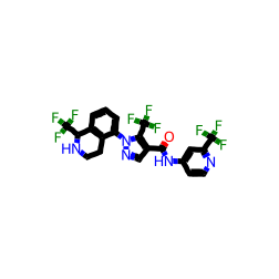 O=C(Nc1ccnc(C(F)(F)F)c1)c1cnn(-c2cccc3c2CCNC3C(F)(F)F)c1C(F)(F)F